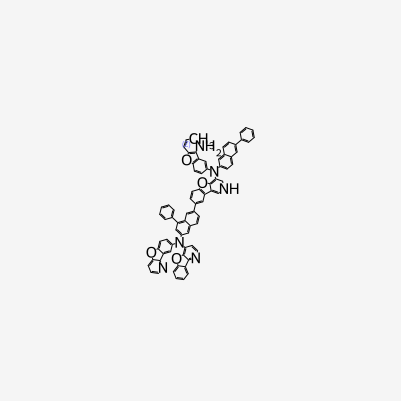 C/C=C\c1oc2ccc(N(C3=c4oc5ccc(-c6ccc7cc(N(c8ccc9oc%10cccnc%10c9c8)c8ccnc9c8oc8ccccc89)cc(-c8ccccc8)c7c6)cc5c4=CNC3)c3ccc4cc(-c5ccccc5)ccc4c3)cc2c1N